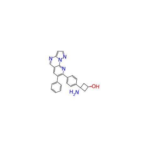 N[C@]1(c2ccc(-c3nc4c(cnc5ccnn54)cc3-c3ccccc3)cc2)C[C@@H](O)C1